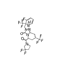 O=C(C1CC(C(F)(F)F)Cc2nn(CC3(C(F)(F)F)NC=CC=C3F)c(=O)n21)N1CCC(F)(F)C1